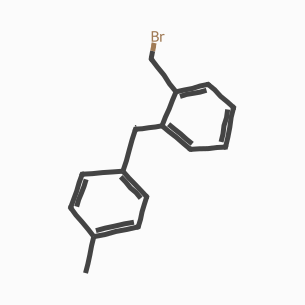 Cc1ccc([CH]c2ccccc2CBr)cc1